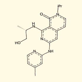 Cc1ccnc(Nc2cc3ccn(C(C)C)c(=O)c3c(N[C@@H](C)CO)n2)c1